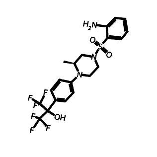 C[C@H]1CN(S(=O)(=O)c2ccccc2N)CCN1c1ccc(C(O)(C(F)(F)F)C(F)(F)F)cc1